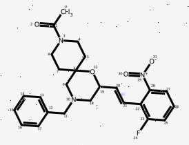 CC(=O)N1CCC2(CC1)CN(Cc1ccccc1)CC(/C=C/c1c(F)cccc1[N+](=O)[O-])O2